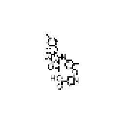 Cc1ccc(Cn2c(=O)n(C)c(=O)[nH]/c2=N\c2ccc(Oc3cc(C(=O)O)ccn3)c(C)c2)cc1